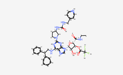 CCNC(=O)[C@H]1O[C@@H](n2cnc3c(NCC(c4ccccc4)c4ccccc4)nc(N4CC[C@@H](NC(=O)NCc5ccncc5)C4)nc32)[C@H](O)[C@@H]1OC(=O)C(F)(F)F